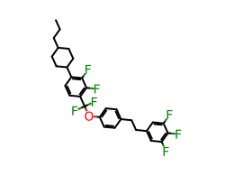 CCCC1CCC(c2ccc(C(F)(F)Oc3ccc(CCc4cc(F)c(F)c(F)c4)cc3)c(F)c2F)CC1